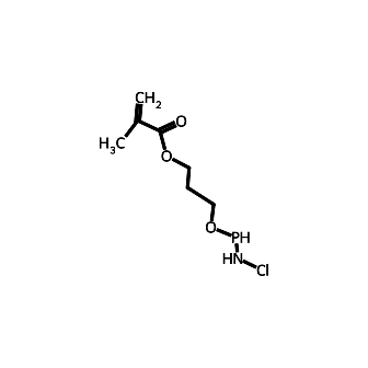 C=C(C)C(=O)OCCCOPNCl